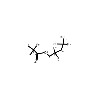 CCC(C)(C)C(=O)OCC(F)(F)CC(F)(F)C(F)(F)F